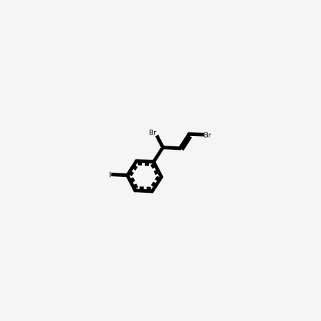 BrC=CC(Br)c1cccc(I)c1